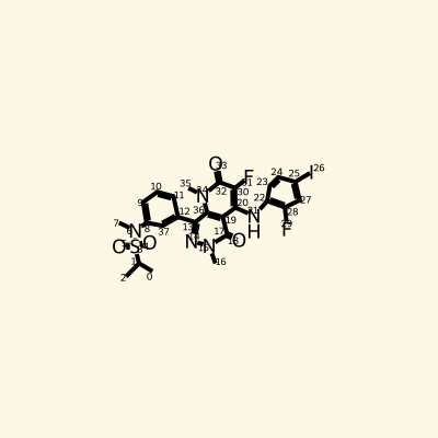 CC(C)S(=O)(=O)N(C)c1cccc(-c2nn(C)c(=O)c3c(Nc4ccc(I)cc4F)c(F)c(=O)n(C)c23)c1